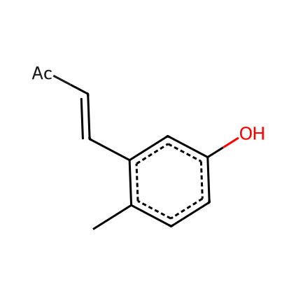 CC(=O)/C=C/c1cc(O)ccc1C